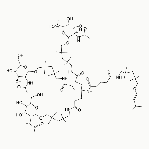 CC(=O)NC1C(OCC(C)(C)CC(C)(C)CNC(=O)CCC(CCC(=O)NCC(C)(C)CC(C)(C)COC2OC(CO)C(O)C(O)C2NC(C)=O)(CCC(=O)NCC(C)(C)CC(C)(C)COC(OC(CO)[C@@H](C)O)[C@H](CO)NC(C)=O)NC(=O)CCCC(=O)NCC(C)(C)CC(C)(C)COC=CC(C)C)OC(CO)C(O)C1O